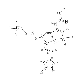 CSc1ncc(C(F)(F)F)c(-c2cn(COCC[Si](C)(C)C)c3nc(-c4nnc(C)s4)ccc23)n1